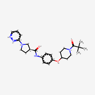 CC(C)(C)C(=O)N1CCC(Oc2ccc(NC(=O)[C@H]3CCN(c4cccnn4)C3)cc2)CC1